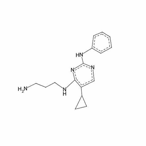 NCCCNc1nc(Nc2ccccc2)ncc1C1CC1